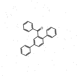 O=C(c1ccccc1)c1cc(-c2ccccc2)ccc1-c1ccccc1